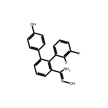 NC(=NO)c1cccc(-c2ccc(O)cc2)c1-c1cccc(F)c1F